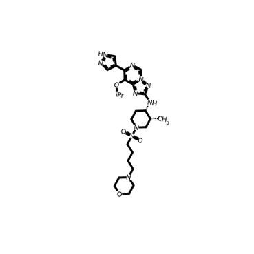 CC(C)Oc1c(-c2cn[nH]c2)ncn2nc(N[C@H]3CCN(S(=O)(=O)CCCCN4CCOCC4)C[C@H]3C)nc12